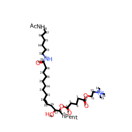 CCCCCC(OC(=O)CCCC(=O)OCC[N+](C)(C)C)C(O)C/C=C\CCCCCCCC(=O)NCCCCCCNC(C)=O